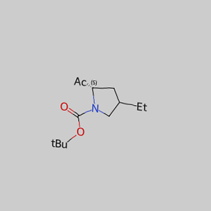 CCC1C[C@@H](C(C)=O)N(C(=O)OC(C)(C)C)C1